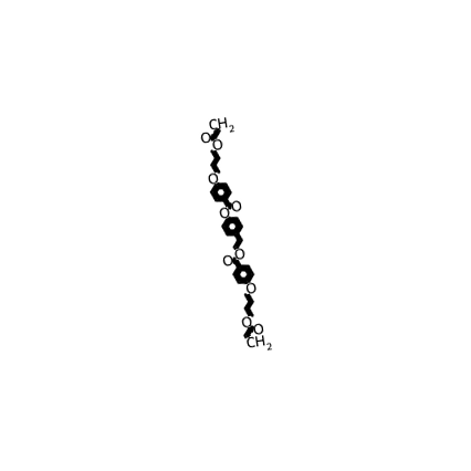 C=CC(=O)OCCCCOc1ccc(C(=O)OCCc2ccc(OC(=O)c3ccc(OCCCCOC(=O)C=C)cc3)cc2)cc1